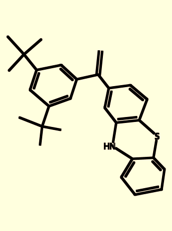 C=C(c1cc(C(C)(C)C)cc(C(C)(C)C)c1)c1ccc2c(c1)Nc1ccccc1S2